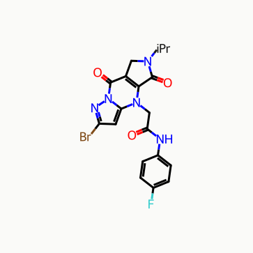 CC(C)N1Cc2c(n(CC(=O)Nc3ccc(F)cc3)c3cc(Br)nn3c2=O)C1=O